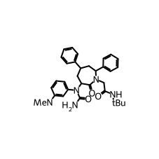 CNc1cccc(N(C(N)=O)C2CC(c3ccccc3)CC(c3ccccc3)N(CC(=O)NC(C)(C)C)C2=O)c1